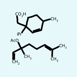 C=CC(C)(CCC=C(C)C)OC(C)=O.CC1C=CC(CC(=O)O)(C(C)C)CC1